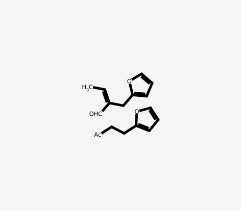 CC(=O)CCc1ccco1.CC=C(C=O)Cc1ccco1